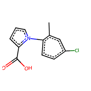 Cc1cc(Cl)ccc1-n1cccc1C(=O)O